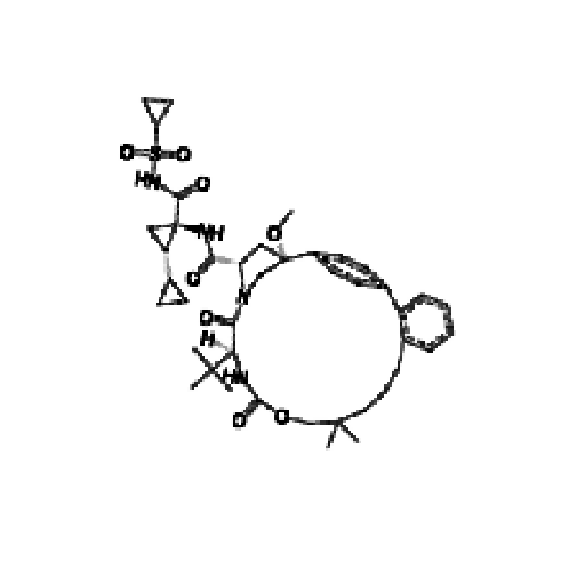 CO[C@@]12C[C@@H](C(=O)N[C@]3(C(=O)NS(=O)(=O)C4CC4)C[C@H]3C3CC3)N(C1)C(=O)[C@H](C(C)(C)C)NC(=O)OCC(C)(C)CCCc1ccccc1-c1ccc2cc1